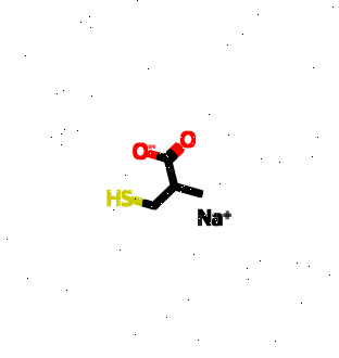 CC(CS)C(=O)[O-].[Na+]